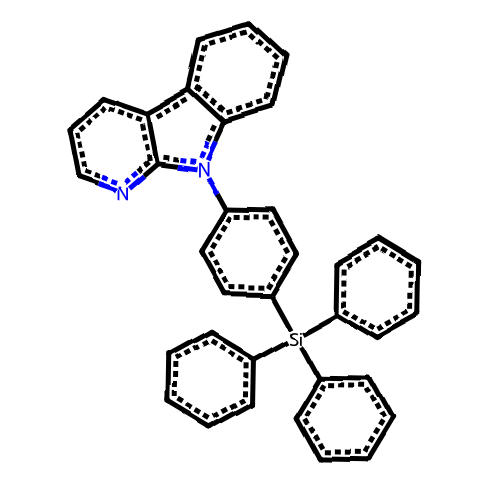 c1ccc([Si](c2ccccc2)(c2ccccc2)c2ccc(-n3c4ccccc4c4cccnc43)cc2)cc1